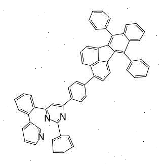 c1ccc(-c2nc(-c3ccc(-c4ccc5c6c(cccc46)-c4c-5c(-c5ccccc5)c5ccccc5c4-c4ccccc4)cc3)cc(-c3ccccc3-c3cccnc3)n2)cc1